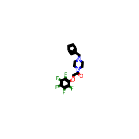 O=C(COc1c(F)c(F)c(F)c(F)c1F)N1CCN(CC2CC3C=CC2C3)CC1